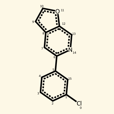 Clc1cccc(-c2cc3ccoc3cn2)c1